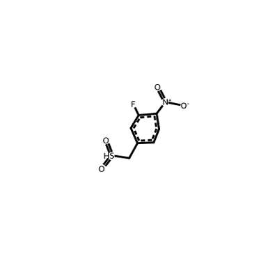 O=[N+]([O-])c1ccc(C[SH](=O)=O)cc1F